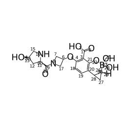 O=C(O)c1c(OC2CN(C(=O)[C@H]3C[C@@H](O)CN3)C2)ccc2c1O[B-](O)(O)[C@@H]1CC21